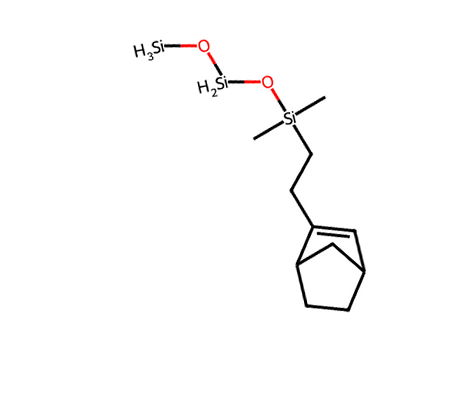 C[Si](C)(CCC1=CC2CCC1C2)O[SiH2]O[SiH3]